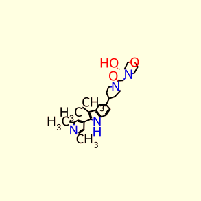 Cc1cc(-c2[nH]c3ccc(C4CCN(C(=O)CN5CCOC[C@H]5CO)CC4)cc3c2C(C)C)cc(C)n1